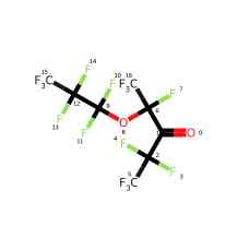 O=C(C(F)(F)C(F)(F)F)C(F)(OC(F)(F)C(F)(F)C(F)(F)F)C(F)(F)F